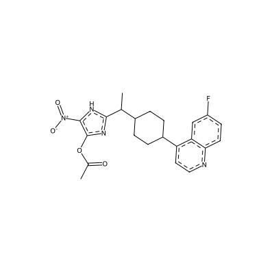 CC(=O)Oc1nc(C(C)C2CCC(c3ccnc4ccc(F)cc34)CC2)[nH]c1[N+](=O)[O-]